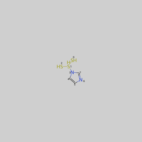 S[SH](S)n1ccnc1